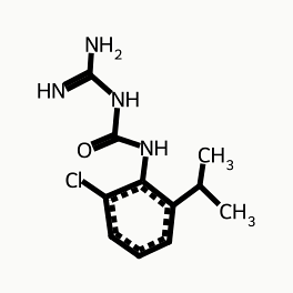 CC(C)c1cccc(Cl)c1NC(=O)NC(=N)N